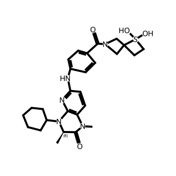 C[C@@H]1C(=O)N(C)c2ccc(Nc3ccc(C(=O)N4CC5(CCS5(O)O)C4)cc3)nc2N1C1CCCCC1